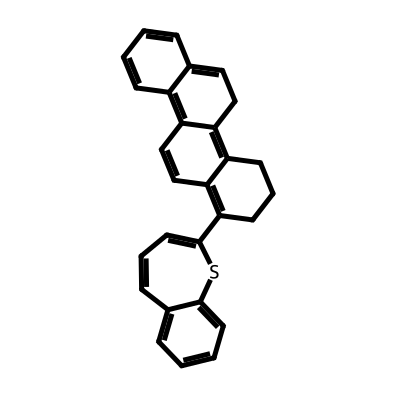 C1=Cc2ccccc2SC(C2=c3ccc4c(c3CCC2)CC=c2ccccc2=4)=C1